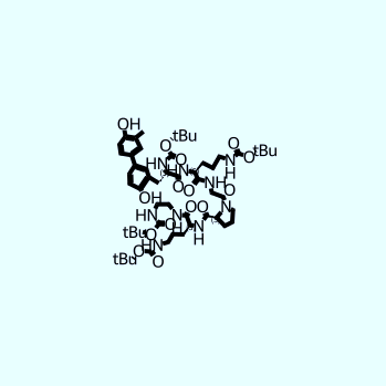 Cc1cc(-c2ccc(O)c(C[C@H](NC(=O)OC(C)(C)C)C(=O)N[C@@H](CCCNC(=O)OC(C)(C)C)C(=O)NCC(=O)N3CCC[C@H]3C(=O)N[C@@H](CCCNC(=O)OC(C)(C)C)C(=O)NCCNC(=O)OC(C)(C)C)c2)ccc1O